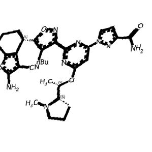 CCCCc1c(-c2nc(O[C@@H](C)[C@@H]3CCCN3C)cc(-n3ccc(C(N)=O)n3)n2)noc1[C@H]1CCCc2sc(N)c(C#N)c21